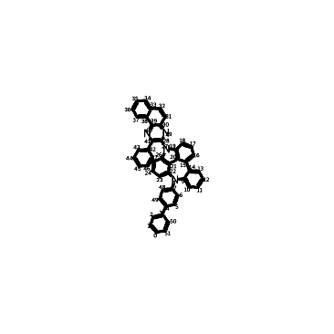 c1ccc(-c2ccc(-n3c4ccccc4c4cccc5c4c4c3cccc4n5-c3nc4ccc5ccccc5c4nc3-c3ccccc3)cc2)cc1